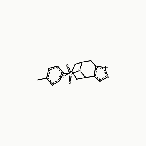 CC1CC2Cc3[nH]ncc3C(C1)N2S(=O)(=O)c1ccc(I)cc1